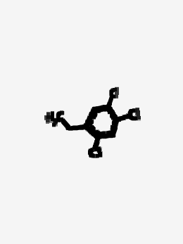 [CH2]Cc1cc(Cl)c(Cl)cc1Cl